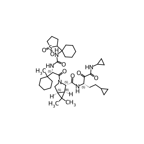 CC1([C@H](NC(=O)NC2(C3CCCS3(=O)=O)CCCCC2)C(=O)N2C[C@H]3[C@@H]([C@H]2C(=O)N[C@@H](CCC2CC2)C(=O)C(=O)NC2CC2)C3(C)C)CCCCC1